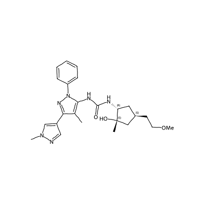 COCC[C@@H]1C[C@@H](NC(=O)Nc2c(C)c(-c3cnn(C)c3)nn2-c2ccccc2)[C@@](C)(O)C1